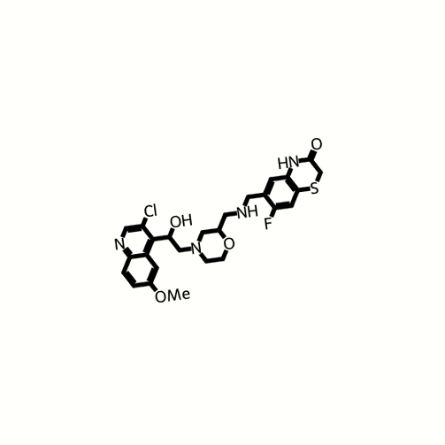 COc1ccc2ncc(Cl)c(C(O)CN3CCOC(CNCc4cc5c(cc4F)SCC(=O)N5)C3)c2c1